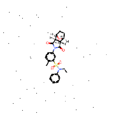 CCN(c1ccccc1)S(=O)(=O)c1cc(N2C(=O)[C@@H]3[C@H](C2=O)[C@H]2CC[C@@H]3O2)ccc1C